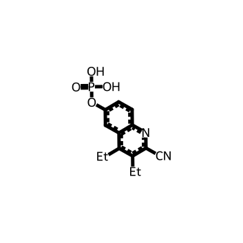 CCc1c(C#N)nc2ccc(OP(=O)(O)O)cc2c1CC